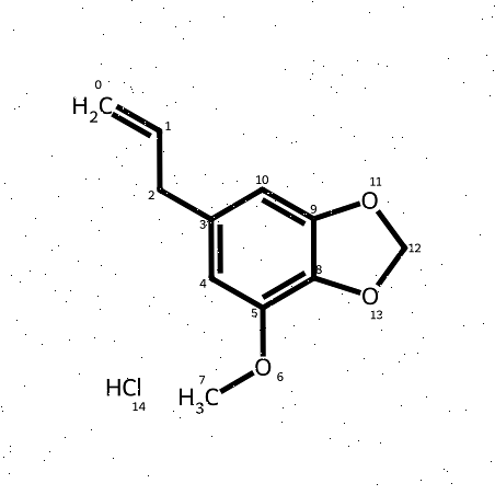 C=CCc1cc(OC)c2c(c1)OCO2.Cl